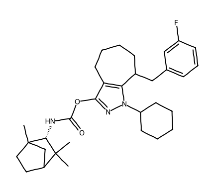 CC12CCC(C1)C(C)(C)[C@H]2NC(=O)Oc1nn(C2CCCCC2)c2c1CCCCC2Cc1cccc(F)c1